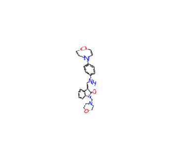 O=C1C(=CNc2ccc(N3CCOCC3)cc2)c2ccccc2N1CN1CCOCC1